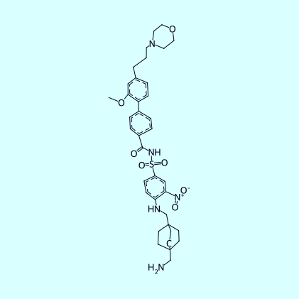 COc1cc(CCCN2CCOCC2)ccc1-c1ccc(C(=O)NS(=O)(=O)c2ccc(NCC34CCC(CN)(CC3)CC4)c([N+](=O)[O-])c2)cc1